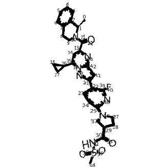 C[C@@H]1c2ccccc2CCN1C(=O)c1cc(C2CC2)n2nc(-c3ccc(N4CCC(C(=O)NS(C)(=O)=O)C4)nc3F)cc2n1